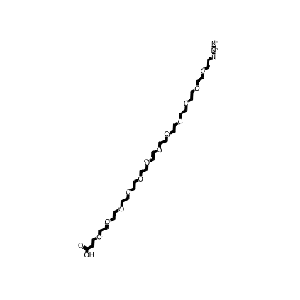 [N-]=[N+]=NCCOCCOCCOCCOCCOCCOCCOCCOCCOCCOCCOCCOCCC(=O)O